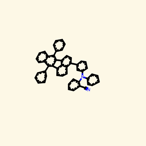 N#Cc1ccccc1N(c1ccccc1)c1cccc(-c2ccc3c4c(cccc24)-c2c-3c(-c3ccccc3)c3ccccc3c2-c2ccccc2)c1